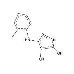 Cc1ccccc1Nc1snc(O)c1C#N